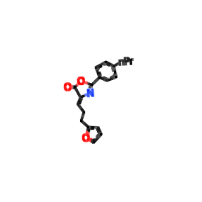 CCCc1ccc(C2=N/C(=C\CCc3ccco3)C(=O)O2)cc1